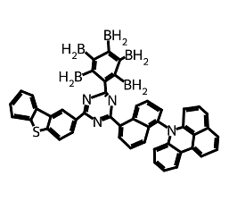 Bc1c(B)c(B)c(-c2nc(-c3ccc4sc5ccccc5c4c3)nc(-c3cccc4c(N5c6ccccc6-c6cccc7cccc5c67)cccc34)n2)c(B)c1B